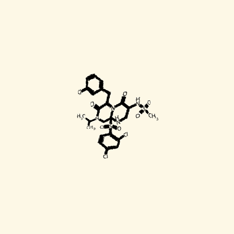 CC(C)N1CC2(S(=O)(=O)c3ccc(Cl)cc3Cl)NCC(NS(C)(=O)=O)C(=O)N2C(Cc2cccc(Cl)c2)C1=O